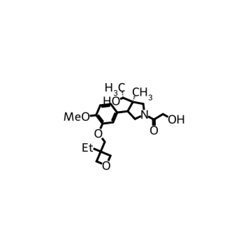 CCC1(COc2cc(C3CN(C(=O)CO)C[C@]3(C)[C@@H](C)O)ccc2OC)COC1